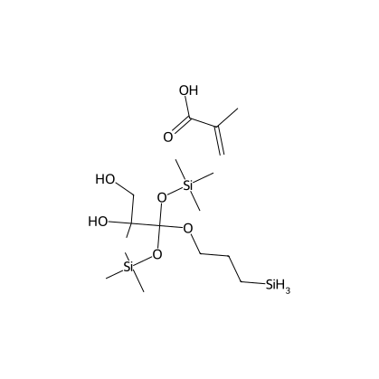 C=C(C)C(=O)O.CC(O)(CO)C(OCCC[SiH3])(O[Si](C)(C)C)O[Si](C)(C)C